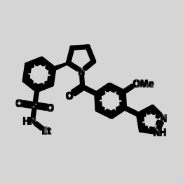 CCNS(=O)(=O)c1cccc([C@H]2CCCN2C(=O)c2ccc(-c3cn[nH]c3)c(OC)c2)c1